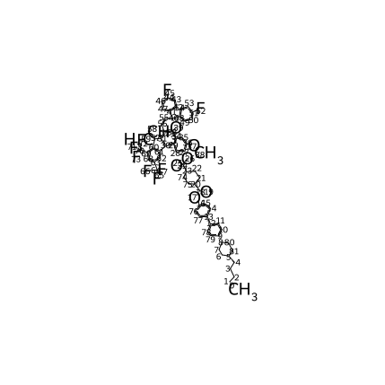 CCCCC[C@H]1CC[C@H](c2ccc(-c3ccc(OC(=O)C4CCC(C(=O)Oc5cc6c7c(c8c(c6cc5OC)OC(c5ccc(F)cc5)(c5ccc(F)cc5)C=C8)C(C)(C)c5c-7cc(C(F)(F)F)cc5C(F)(F)F)CC4)cc3)cc2)CC1